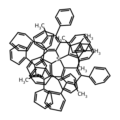 CC1=C(C)C(C)C([Si](c2c(-c3ccccc3)c(-c3ccccc3)c(C)c(-c3ccccc3)c2-c2ccccc2)(c2c(-c3ccccc3)c(-c3ccccc3)c(C)c(-c3ccccc3)c2-c2ccccc2)c2c(-c3ccccc3)c(-c3ccccc3)c(C)c(-c3ccccc3)c2-c2ccccc2)=C1C